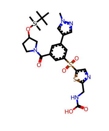 Cn1cc(-c2cc(C(=O)N3CCC(O[Si](C)(C)C(C)(C)C)C3)cc(S(=O)(=O)c3cnc(CNC(=O)O)s3)c2)cn1